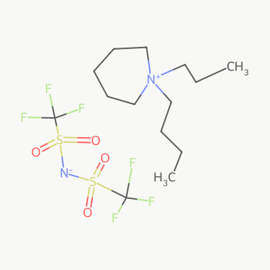 CCCC[N+]1(CCC)CCCCC1.O=S(=O)([N-]S(=O)(=O)C(F)(F)F)C(F)(F)F